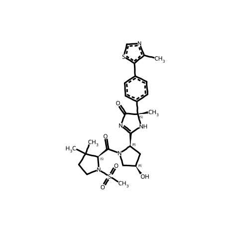 Cc1ncsc1-c1ccc([C@]2(C)NC([C@H]3C[C@@H](O)CN3C(=O)[C@H]3N(S(C)(=O)=O)CCC3(C)C)=NC2=O)cc1